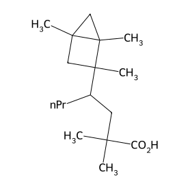 CCCC(CC(C)(C)C(=O)O)C1(C)CC2(C)CC21C